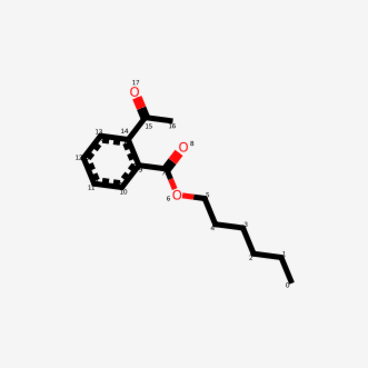 CCCCCCOC(=O)c1ccccc1C(C)=O